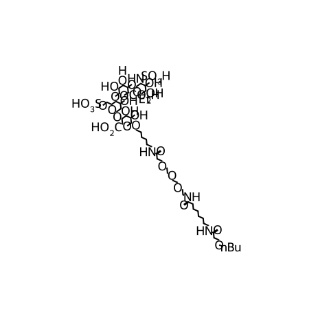 CCCCOCCC(=O)NCCCCCCCC(=O)NCCOCCOCCOCCC(=O)NCCCCCCOC1OC(C(=O)O)C(OC2CC(O)C(OC3OC(C(=O)O)C(OC4OC(CC)C(O)C(O)C4NS(=O)(=O)O)C(O)C3O)C(COS(=O)(=O)O)O2)C(O)C1O